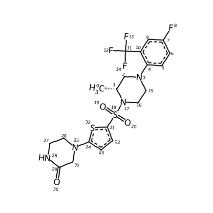 C[C@@H]1CN(c2ccc(F)cc2C(F)(F)F)CCN1S(=O)(=O)c1ccc(N2CCNC(=O)C2)s1